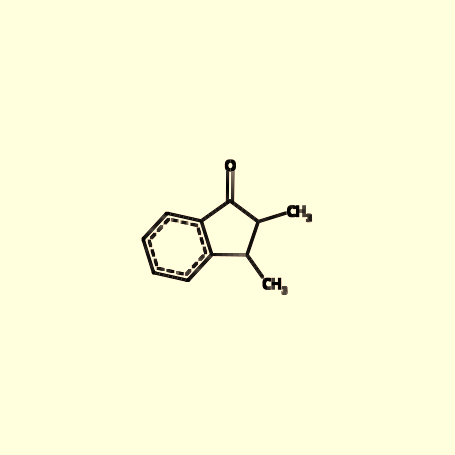 CC1C(=O)c2ccccc2C1C